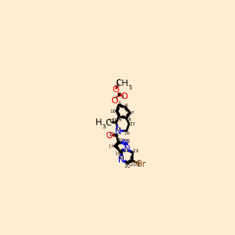 COC(=O)Oc1ccc2c(c1)C(C)N(C(=O)c1cc3ncc(Br)cn3n1)CC2